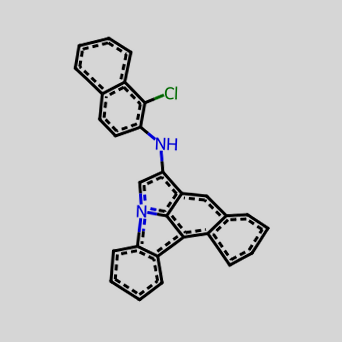 Clc1c(Nc2cn3c4ccccc4c4c5ccccc5cc2c43)ccc2ccccc12